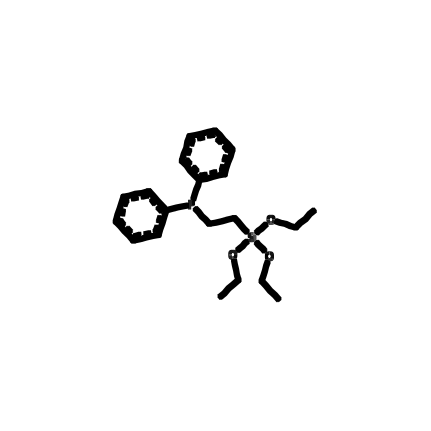 CCO[Si](CCP(c1ccccc1)c1ccccc1)(OCC)OCC